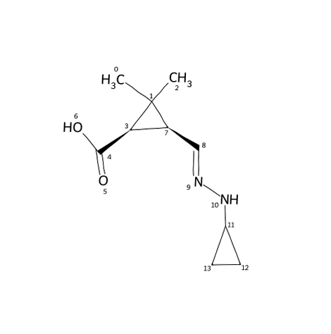 CC1(C)[C@H](C(=O)O)[C@@H]1C=NNC1CC1